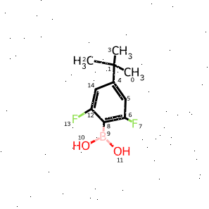 CC(C)(C)c1cc(F)c(B(O)O)c(F)c1